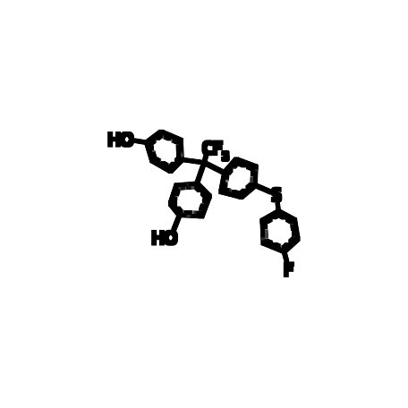 Oc1ccc(C(c2ccc(O)cc2)(c2ccc(Sc3ccc(F)cc3)cc2)C(F)(F)F)cc1